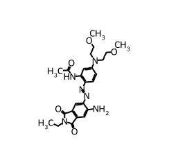 CCN1C(=O)c2cc(N)c(/N=N/c3ccc(N(CCOC)CCOC)cc3NC(C)=O)cc2C1=O